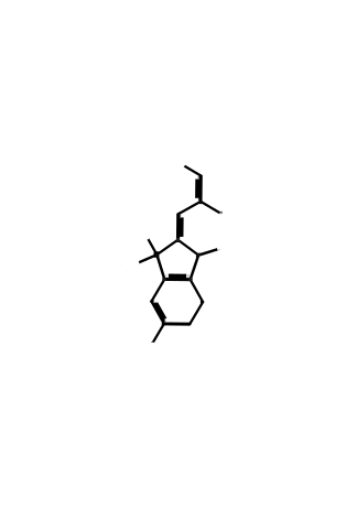 C/C=C(I)\C=C1/C(C)C2=C(C=C(I)CC2)C1(C)C